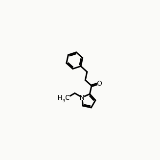 CCn1cccc1C(=O)CCc1ccccc1